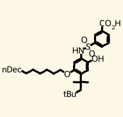 CCCCCCCCCCCCCCCCOc1cc(NS(=O)(=O)c2cccc(C(=O)O)c2)c(O)cc1C(C)(C)CC(C)(C)C